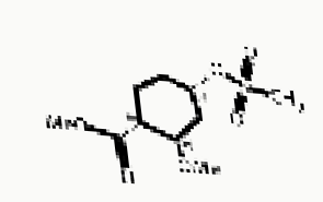 COC(=O)[C@@H]1CC[C@H](OS(C)(=O)=O)C[C@H]1OC